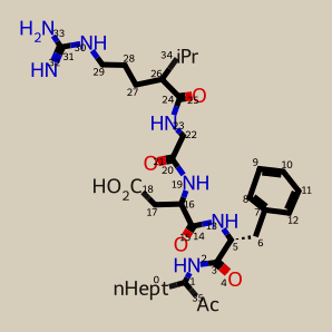 CCCCCCCC(NC(=O)[C@@H](Cc1ccccc1)NC(=O)C(CC(=O)O)NC(=O)CNC(=O)C(CCCNC(=N)N)C(C)C)C(C)=O